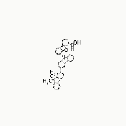 CC1(C)c2ccccc2-c2ccc(-c3ccc4c(c3)c3ccccc3n4-c3cccc4c3oc3c(BO)cccc34)cc21